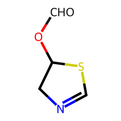 O=COC1CN=CS1